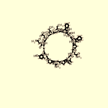 CCCC[C@H]1C(=O)N(C)[C@@H](CCCC)C(=O)N[C@@H](CCC(=O)O)C(=O)N[C@H](C(=O)NCC(N)=O)CSCC(=O)N[C@@H](Cc2ccc(O)cc2)C(=O)N2CCCC[C@H]2C(=O)N[C@@H](CC(N)=O)C(=O)N2CCC[C@H]2C(=O)N[C@@H](Cc2cnc[nH]2)C(=O)N[C@@H](CCC(N)=O)C(=O)N2CCC[C@H]2C(=O)N[C@@H](Cc2c[nH]c3ccccc23)C(=O)N[C@@H](CO)C(=O)N[C@@H](Cc2c[nH]c3ccccc23)C(=O)N1C